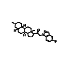 C[C@H]1CC[C@@H]2C3CC[C@]4(C)C(C(=O)Cn5ncc6cc(F)ccc65)CCC4[C@@H]3CC[C@@H]2C1